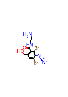 [N-]=[N+]=Nc1c(Br)cc(CO)c(C(=O)NCCN)c1Br